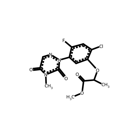 COC(=O)C(C)Oc1cc(-n2ncc(=O)n(C)c2=O)c(F)cc1Cl